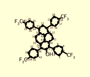 Oc1c(-c2ccc(C(F)(F)F)cc2)c2ccc3c(-c4ccc(C(F)(F)F)cc4)cc(-c4ccc(C(F)(F)F)cc4)c4ccc(c1-c1ccc(C(F)(F)F)cc1)c2c34